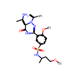 C=C(CCC)N1N=C(c2cc(S(=O)(=O)NC(C)CCOCC)ccc2OCC)NC(=O)/C1=C(\C)N